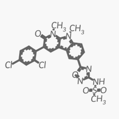 Cn1c(=O)c(-c2ccc(Cl)cc2Cl)cc2c3cc(-c4nc(NS(C)(=O)=O)no4)ccc3n(C)c21